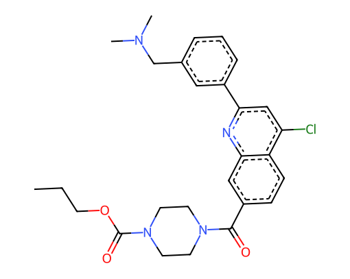 CCCOC(=O)N1CCN(C(=O)c2ccc3c(Cl)cc(-c4cccc(CN(C)C)c4)nc3c2)CC1